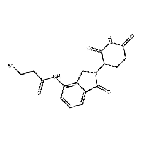 O=C1CCC(N2Cc3c(NC(=O)CCBr)cccc3C2=O)C(=O)N1